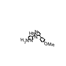 COc1ccc(-c2ccnc3[nH]c(-c4ccc(N)nc4)nc23)cc1